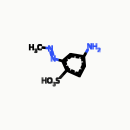 CN=Nc1cc(N)ccc1S(=O)(=O)O